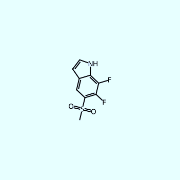 CS(=O)(=O)c1cc2cc[nH]c2c(F)c1F